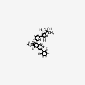 CC(C)(O)c1cc(-c2cccc([C@]34CC[C@@H](c5cc(-c6c(F)cccc6F)nnc53)C4(C)C)n2)[nH]n1